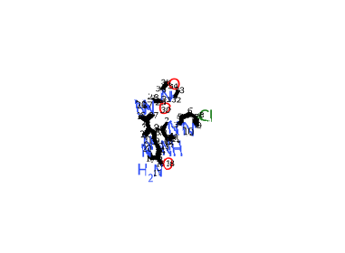 C[C@H]1CN(c2ccc(Cl)cn2)C[C@H]1Nc1c(C(N)=O)cnn2cc(-c3cnn(CC(=O)N4CCOCC4)c3)cc12